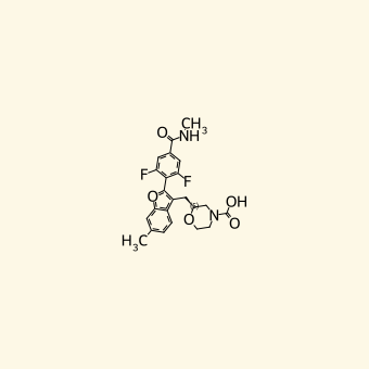 CNC(=O)c1cc(F)c(-c2oc3cc(C)ccc3c2C[C@H]2CN(C(=O)O)CCO2)c(F)c1